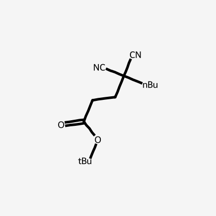 CCCCC(C#N)(C#N)CCC(=O)OC(C)(C)C